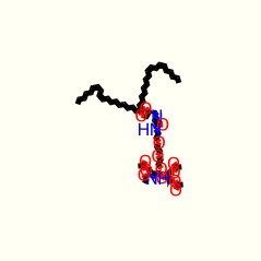 CCCCC/C=C\C/C=C\CCCCCCCCC1(CCCCCCCC/C=C\C/C=C\CCCCC)OC[C@H](CN(C)CC(=O)NCCOCCOCCO[C@H](OC(COC(C)=O)[C@@H](C)OC(C)=O)[C@H](COC(C)=O)NC(C)=O)O1